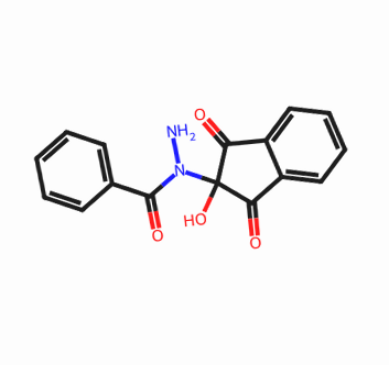 NN(C(=O)c1ccccc1)C1(O)C(=O)c2ccccc2C1=O